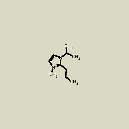 CCCc1n(C(C)C)cc[n+]1C